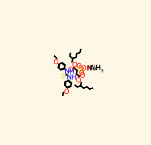 CCCCC(CC)COC(=O)CC(C(=O)OCC(CC)CCCC)S(=O)(=O)O.CCOc1ccc(NC(=S)Nc2ccc(OCC)cc2)cc1.[AlH3].[NaH]